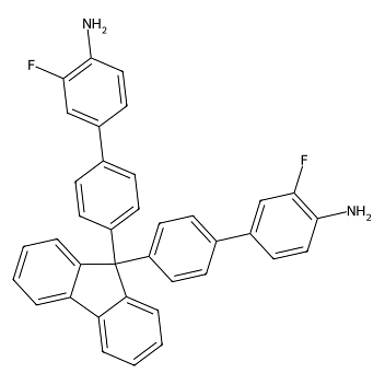 Nc1ccc(-c2ccc(C3(c4ccc(-c5ccc(N)c(F)c5)cc4)c4ccccc4-c4ccccc43)cc2)cc1F